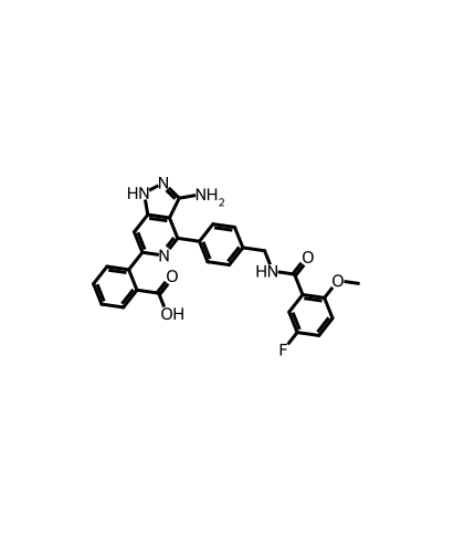 COc1ccc(F)cc1C(=O)NCc1ccc(-c2nc(-c3ccccc3C(=O)O)cc3[nH]nc(N)c23)cc1